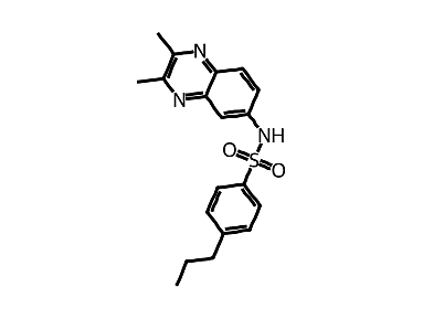 CCCc1ccc(S(=O)(=O)Nc2ccc3nc(C)c(C)nc3c2)cc1